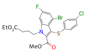 CCOC(=O)CCCn1c(C(=O)OC)c(Sc2ccc(Cl)cc2)c2c(Br)cc(F)cc21